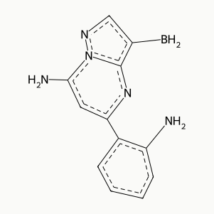 Bc1cnn2c(N)cc(-c3ccccc3N)nc12